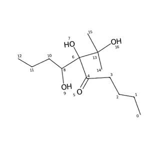 CCCCC(=O)C(O)(C(O)CCC)C(C)(C)O